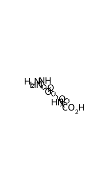 N=C(N)Nc1ccc(C(=O)Oc2ccc(CCC(=O)N[C@@H](CC(=O)O)c3ccccc3)cc2)cc1